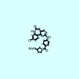 CNC1CCN(C(=O)c2ccc(Nc3ncc4c(n3)-c3ccc(Cl)cc3NC(=O)C4)cc2)C1